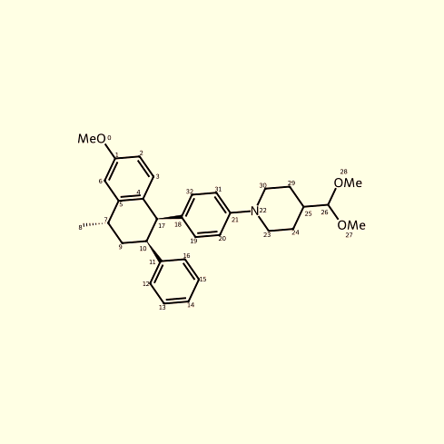 COc1ccc2c(c1)[C@@H](C)C[C@H](c1ccccc1)[C@@H]2c1ccc(N2CCC(C(OC)OC)CC2)cc1